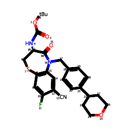 CC(C)(C)OC(=O)N[C@H]1CSc2cc(F)c(C#N)cc2N(Cc2ccc(C3CCOCC3)cc2)C1=O